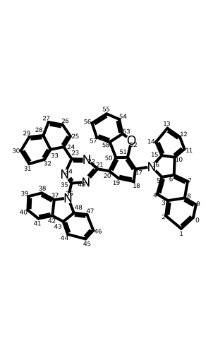 c1ccc2cc3c(cc2c1)c1ccccc1n3-c1ccc(-c2nc(-c3cccc4ccccc34)nc(-n3c4ccccc4c4ccccc43)n2)c2c1oc1ccccc12